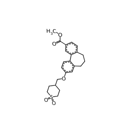 COC(=O)c1ccc2c(c1)-c1ccc(OCC3CCS(=O)(=O)CC3)cc1CCC2